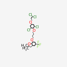 CC1(C)Cc2cc(C(F)(F)F)cc(OCCCCOc3c(Cl)cc(OCC=C(Cl)Cl)cc3Cl)c2O1